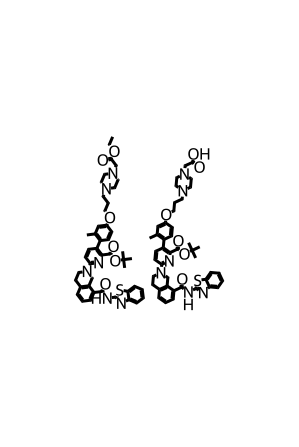 CCOC(=O)CN1CCN(CCCOc2ccc(-c3ccc(N4CCc5cccc(C(=O)Nc6nc7ccccc7s6)c5C4)nc3C(=O)OC(C)(C)C)c(C)c2)CC1.Cc1cc(OCCCN2CCN(CC(=O)O)CC2)ccc1-c1ccc(N2CCc3cccc(C(=O)Nc4nc5ccccc5s4)c3C2)nc1C(=O)OC(C)(C)C